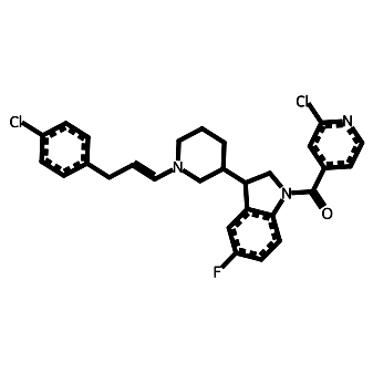 O=C(c1ccnc(Cl)c1)N1CC(C2CCCN(/C=C/Cc3ccc(Cl)cc3)C2)c2cc(F)ccc21